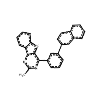 Cc1nc(-c2cccc(-c3ccc4ccccc4c3)c2)c2sc3ccccc3c2n1